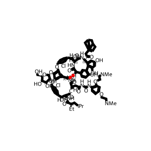 CC[C@H](CC(C)C)C(=O)N[C@H]1C(=O)C[C@@H](CC(=O)NC(=O)Nc2ccc(OCCNC)cc2OCCNC)C(=O)N[C@H]2C(=O)C[C@H]3C(=O)N[C@H](C(=O)N[C@H](C(=O)CC4C5CC6CC(C5)CC4C6)c4cc(O)cc(O)c4-c4cc3ccc4O)[C@H](O)c3ccc(c(Cl)c3)Oc3cc2cc(c3O[C@@H]2O[C@H](CO)[C@@H](O)[C@H](O)[C@H]2O)Oc2ccc(cc2Cl)[C@H]1O